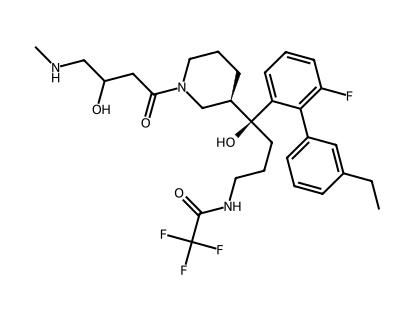 CCc1cccc(-c2c(F)cccc2[C@](O)(CCCNC(=O)C(F)(F)F)[C@@H]2CCCN(C(=O)CC(O)CNC)C2)c1